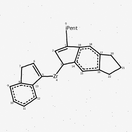 CCCC(C)C1=C[CH]([Zr][C]2=CCc3ccccc32)c2cc3c(cc21)CCC3